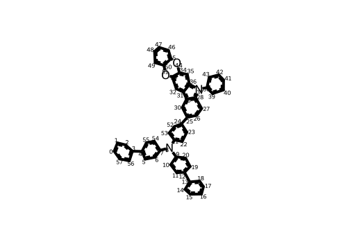 c1ccc(-c2ccc(N(c3ccc(-c4ccccc4)cc3)c3ccc(-c4ccc5c(c4)c4cc6c(cc4n5-c4ccccc4)Oc4ccccc4O6)cc3)cc2)cc1